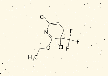 CCOC1=NC(Cl)=CCC1(Cl)C(F)(F)F